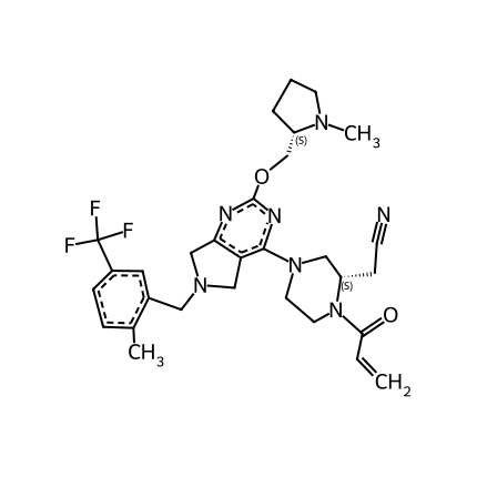 C=CC(=O)N1CCN(c2nc(OC[C@@H]3CCCN3C)nc3c2CN(Cc2cc(C(F)(F)F)ccc2C)C3)C[C@@H]1CC#N